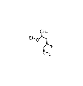 C=C/C(F)=C\C(=C)OCC